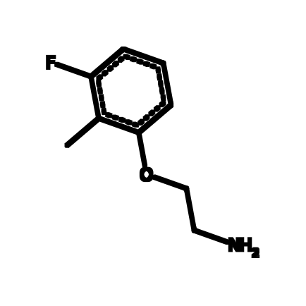 Cc1c(F)cccc1OCCN